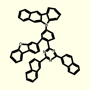 c1ccc2cc(-c3nc(-c4ccc5ccccc5c4)nc(-c4ccc(-n5c6ccccc6c6cc7ccccc7cc65)cc4-c4ccc5c(c4)oc4ccccc45)n3)ccc2c1